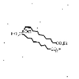 CCCCCCCC/C=C\CCCCCCCC(=O)OCC.O=C(O)CCCCCCCCC(=O)O